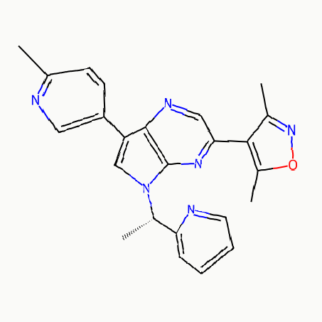 Cc1ccc(-c2cn([C@@H](C)c3ccccn3)c3nc(-c4c(C)noc4C)cnc23)cn1